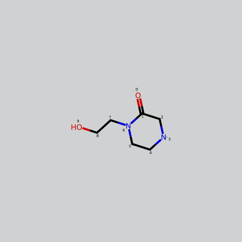 O=C1C[N]CCN1CCO